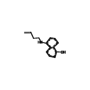 C=CCCNc1cccc2c(O)cccc12